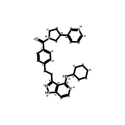 O=C(c1ccc(CCc2n[nH]c3ccnc(NC4CCCCC4)c23)cc1)N1CCC(c2cccnc2)C1